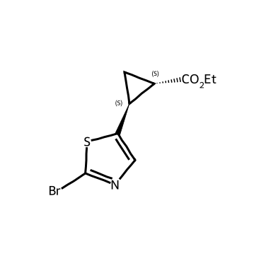 CCOC(=O)[C@H]1C[C@@H]1c1cnc(Br)s1